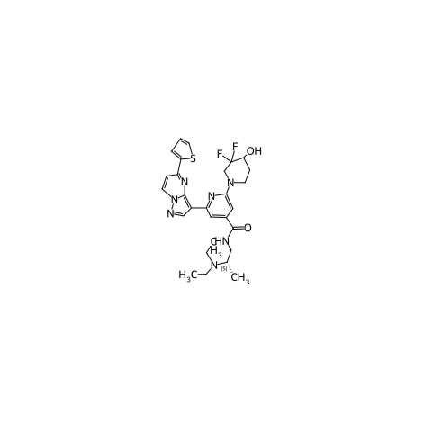 CCN(CC)[C@@H](C)CNC(=O)c1cc(-c2cnn3ccc(-c4cccs4)nc23)nc(N2CCC(O)C(F)(F)C2)c1